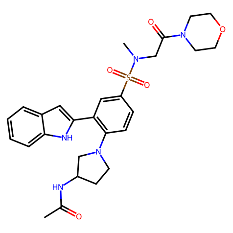 CC(=O)NC1CCN(c2ccc(S(=O)(=O)N(C)CC(=O)N3CCOCC3)cc2-c2cc3ccccc3[nH]2)C1